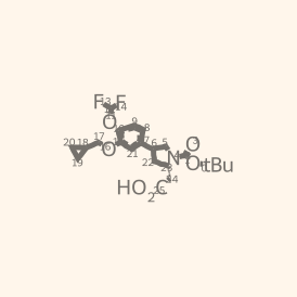 CC(C)(C)OC(=O)N1CC(c2ccc(OC(F)F)c(OCC3CC3)c2)C[C@H]1CC(=O)O